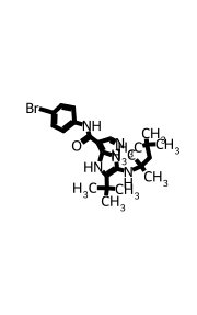 CC(C)(C)CC(C)(C)Nc1c(C(C)(C)C)[nH]c2c(C(=O)Nc3ccc(Br)cc3)cnn12